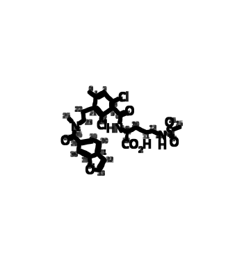 Cc1cc(Cl)c(C(=O)N[C@@H](CCCNS(C)(=O)=O)C(=O)O)c(Cl)c1CCN(C)C(=O)c1ccc2ccoc2c1